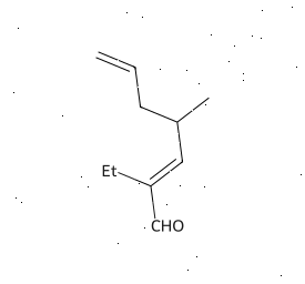 C=CCC(C)/C=C(/C=O)CC